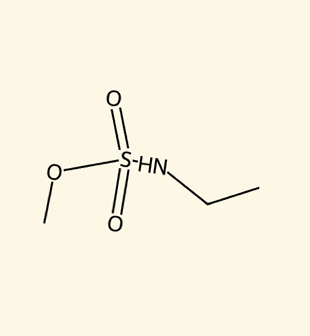 CCNS(=O)(=O)OC